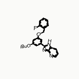 CC(C)COc1cc(OCc2ccccc2F)cc(-c2nc3ncccc3[nH]2)c1